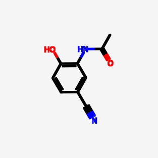 CC(=O)Nc1cc(C#N)ccc1O